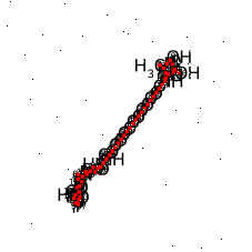 CCN1CCN(CC(=O)O)CCN(CC(=O)O)CCN(CC(=O)NCCOCCOCCOCCOCCOCCOCCOCCOCCOCCOCCOCCOCCC(=O)NCCNC(=O)c2ccc(-c3cn(Cc4cccc5c4CN(C(=O)C[C@@H]4C[C@@H](C(=O)N6CC(F)(F)C[C@H]6C#N)NC4=O)C5)nn3)cc2)CC1